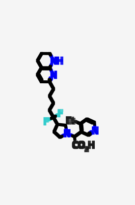 CCc1ccncc1C(C(=O)O)N1CCC(C(F)(F)CCCCc2ccc3c(n2)NCCC3)C1